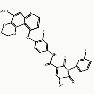 COc1cc2nccc(Oc3ccc(NC(=O)c4cn(C(C)C)c(=O)n(-c5cccc(F)c5)c4=O)cc3F)c2c2c1OCCO2